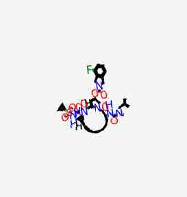 CC(C)CN(C)C(=O)N[C@H]1CCCCC/C=C\[C@@H]2C[C@@]2(C(=O)NS(=O)(=O)C2CC2)NC(=O)[C@@H]2C[C@@H](OC(=O)N3Cc4cccc(F)c4C3)CN2C1=O